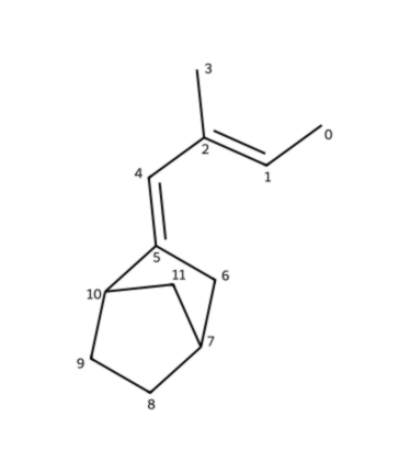 CC=C(C)C=C1CC2CCC1C2